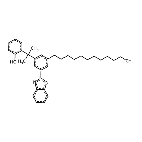 CCCCCCCCCCCCc1cc(-n2nc3ccccc3n2)cc(C(C)(C)c2ccccc2O)c1